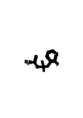 CC(C)(Cc1cccnc1F)OC(N)=O